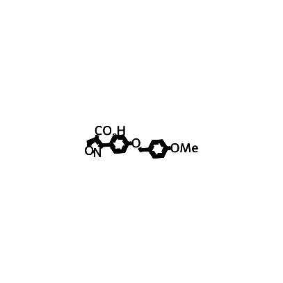 COc1ccc(COc2ccc(-c3nocc3C(=O)O)cc2)cc1